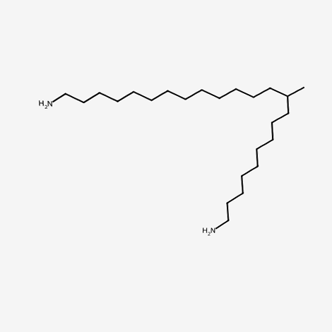 CC(CCCCCCCCCN)CCCCCCCCCCCCCN